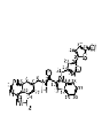 Nc1ncnc2cc(CNC(=O)c3cc4ccccc4n3Cc3cc(-c4ccc(Cl)s4)on3)ccc12